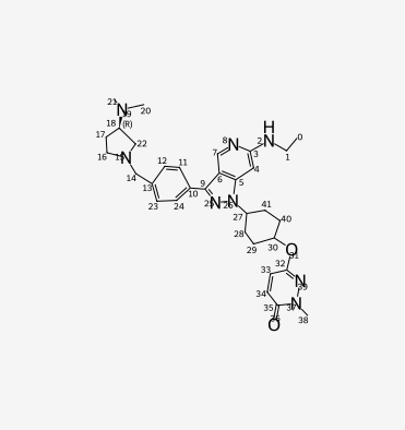 CCNc1cc2c(cn1)c(-c1ccc(CN3CC[C@@H](N(C)C)C3)cc1)nn2C1CCC(Oc2ccc(=O)n(C)n2)CC1